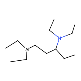 CCC(C[CH2][Al]([CH2]C)[CH2]C)N(CC)CC